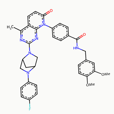 COc1ccc(CNC(=O)c2ccc(-n3c(=O)ccc4c(C)nc(N5CC6CC5CN6c5ccc(F)cc5)nc43)cc2)cc1OC